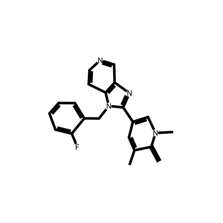 C=C1C(C)=CC(c2nc3cnccc3n2Cc2ccccc2F)=CN1C